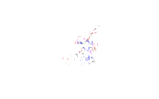 CCOC(=O)CCc1cc(Oc2nc(S(C)(=O)=O)nc(OCC(=O)OCC)c2[N+](=O)[O-])cc(C2NC=CCN2)c1